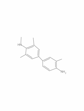 CNc1c(C)cc(-c2ccc(N)c(C)c2)cc1C